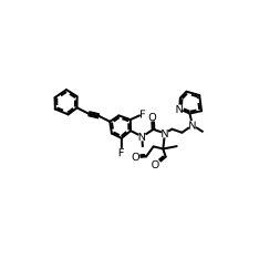 CN(CCN(C(=O)N(C)c1c(F)cc(C#Cc2ccccc2)cc1F)C(C)(C=O)CC=O)c1ccccn1